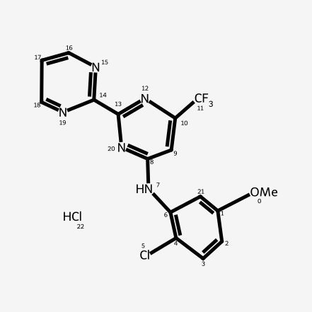 COc1ccc(Cl)c(Nc2cc(C(F)(F)F)nc(-c3ncccn3)n2)c1.Cl